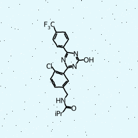 CC(C)C(=O)NCc1ccc(Cl)c(-c2nc(O)nc(-c3ccc(C(F)(F)F)cc3)n2)c1